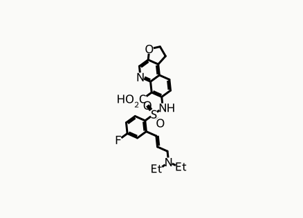 CCN(CC)CC=Cc1cc(F)ccc1S(=O)(=O)Nc1ccc2c3c(cnc2c1C(=O)O)OCC3